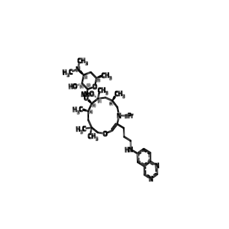 CCCN1C[C@H](C)C[C@@](C)(OC)[C@H](O[C@@H]2O[C@H](C)C[C@H](N(C)C)[C@H]2O)[C@H](C)CC(C)(C)COC=C1CCCNc1ccc2ncncc2c1